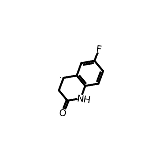 O=C1C[CH]c2cc(F)ccc2N1